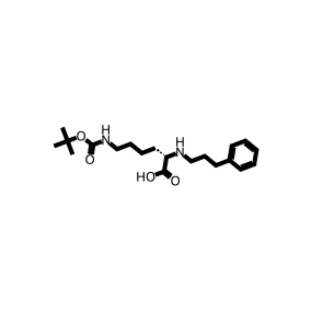 CC(C)(C)OC(=O)NCCCC[C@H](NCCCc1ccccc1)C(=O)O